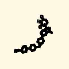 Cn1nc(N2CCC(=O)NC2=O)c2ccc(C3CCN(CC4CCN(c5ccc(C#N)cc5)CC4)CC3)cc21